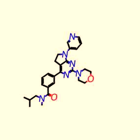 CC(C)CN(C)C(=O)c1cccc(-c2nc(N3CCOCC3)nc3c2CCN3c2cccnc2)c1